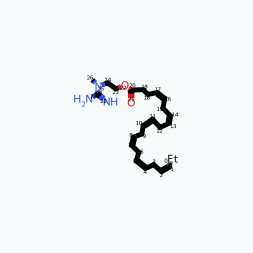 CC/C=C\C/C=C\C/C=C\C/C=C\C/C=C\C/C=C\CCC(=O)OCCN(C)C(=N)N